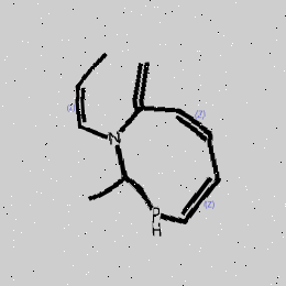 C=C1/C=C\C=C/PC(C)N1/C=C\C